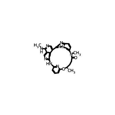 CNc1ncc2c3cc(ncc13)Nc1cccc(n1)O[C@H](C)CCC(=O)N(C)c1ccc3nc-2nn3c1